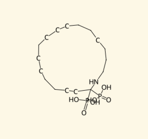 O=P(O)(O)C1(P(=O)(O)O)CCCCCCCCCCCCCCCCN1